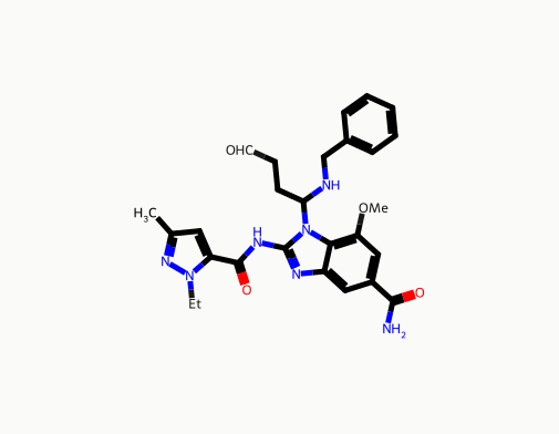 CCn1nc(C)cc1C(=O)Nc1nc2cc(C(N)=O)cc(OC)c2n1C(CCC=O)NCc1ccccc1